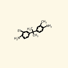 CCc1cc(C(C)(C)c2ccc(N)c(C)c2)ccc1N